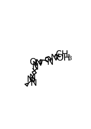 CC1(O)CN(c2ccc(C3CN(C(=O)N4CC5(CC(n6cnc(C7CC7)n6)C5)C4)C3)cn2)C1